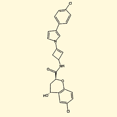 O=C(NC1C=C(n2ccc(-c3ccc(Cl)cc3)c2)C1)[C@@H]1C[C@@H](O)c2cc(Cl)ccc2O1